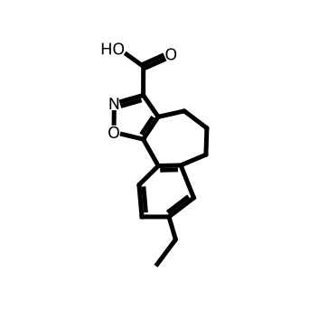 CCc1ccc2c(c1)CCCc1c(C(=O)O)noc1-2